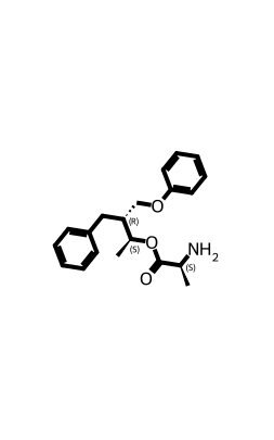 C[C@H](N)C(=O)O[C@@H](C)[C@@H](COc1ccccc1)Cc1ccccc1